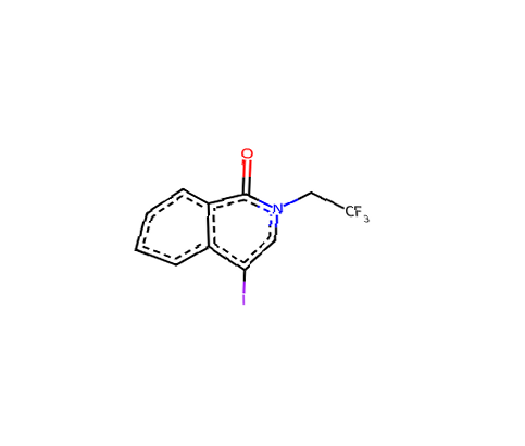 O=c1c2ccccc2c(I)cn1CC(F)(F)F